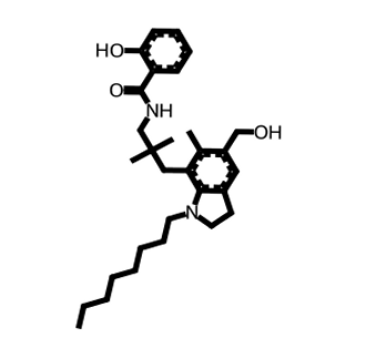 CCCCCCCCN1CCc2cc(CO)c(C)c(CC(C)(C)CNC(=O)c3ccccc3O)c21